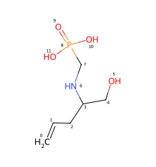 C=CCC(CO)NCP(=O)(O)O